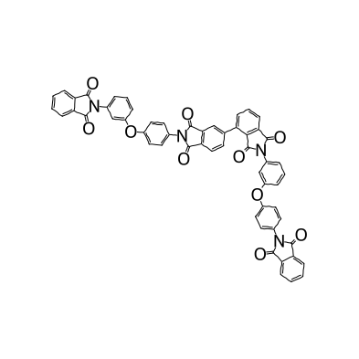 O=C1c2ccccc2C(=O)N1c1ccc(Oc2cccc(N3C(=O)c4cccc(-c5ccc6c(c5)C(=O)N(c5ccc(Oc7cccc(N8C(=O)c9ccccc9C8=O)c7)cc5)C6=O)c4C3=O)c2)cc1